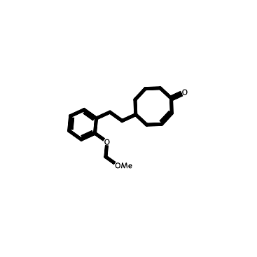 COCOc1ccccc1CCC1CC=CC(=O)CCC1